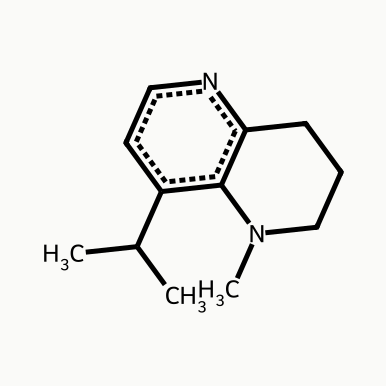 CC(C)c1ccnc2c1N(C)CCC2